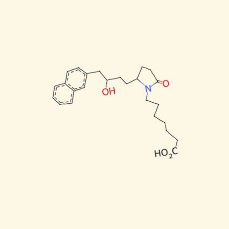 O=C(O)CCCCCCN1C(=O)CCC1CCC(O)Cc1ccc2ccccc2c1